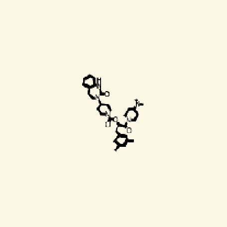 Cc1cc(C)cc(C[C@@H](OC(=O)N2CCC(N3CCc4ccccc4NC3=O)CC2)C(=O)N2CCC(N(C)C)CC2)c1